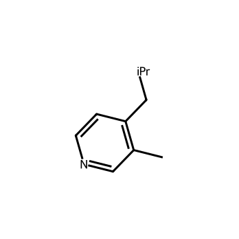 Cc1cnccc1CC(C)C